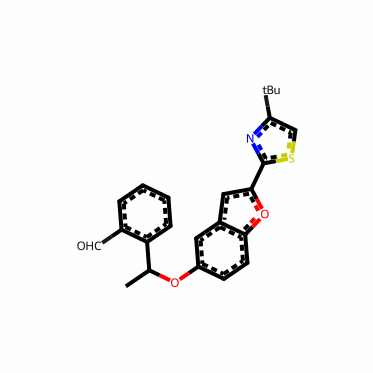 CC(Oc1ccc2oc(-c3nc(C(C)(C)C)cs3)cc2c1)c1ccccc1C=O